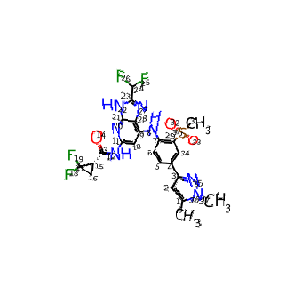 Cc1cc(-c2ccc(Nc3cc(NC(=O)[C@@H]4CC4(F)F)nc4[nH]c(C(F)F)nc34)c(S(C)(=O)=O)c2)nn1C